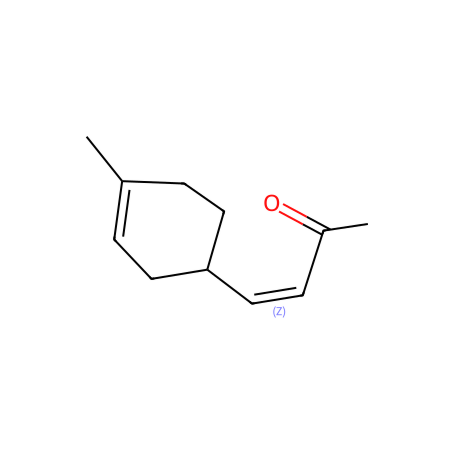 CC(=O)/C=C\C1CC=C(C)CC1